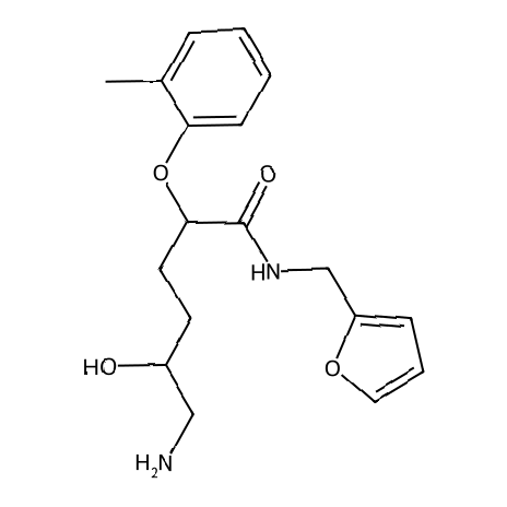 Cc1ccccc1OC(CCC(O)CN)C(=O)NCc1ccco1